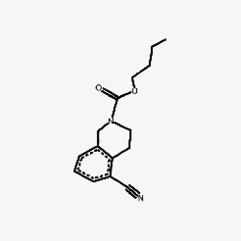 CCCCOC(=O)N1CCc2c(C#N)cccc2C1